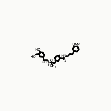 COc1cccc(CCCNC(=O)c2cccc(CC(C)(C)NC[C@H](O)c3ccc(O)c(CO)c3)c2)c1